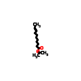 CCC=CCCCCCCCC(=O)OC(C)C